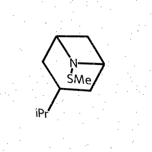 CSN1C2CC(C(C)C)CC1C2